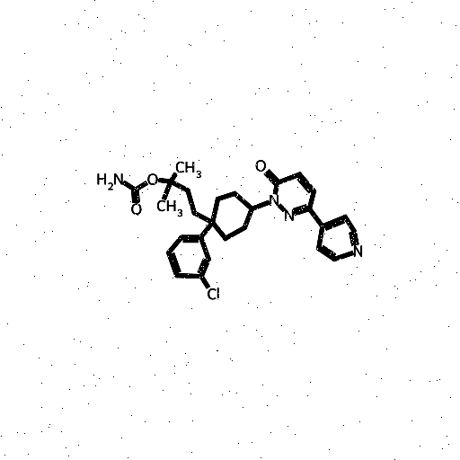 CC(C)(CCC1(c2cccc(Cl)c2)CCC(n2nc(-c3ccncc3)ccc2=O)CC1)OC(N)=O